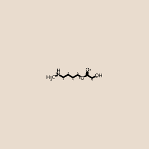 CNCCCCOC(=O)CO